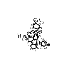 Cc1ccc(S(=O)(=O)n2ccc3c(-c4ccccc4Oc4ccc(F)nc4)cn(C)c(=O)c32)cc1